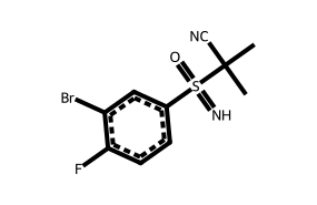 CC(C)(C#N)S(=N)(=O)c1ccc(F)c(Br)c1